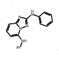 CC(C)Nc1cccc2nc(Nc3ccccc3)nn12